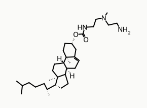 CC(C)CCC[C@@H](C)[C@H]1CCC2[C@@H]3CC=C4C[C@@H](OC(=O)NCCN(C)CCN)CC[C@]4(C)[C@H]3CC[C@@]21C